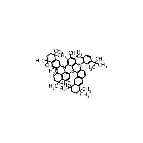 Cc1cc2c3c(c1)N1c4cc5c(cc4C4(C)CCC(C)(C)c6ccc(c1c64)B3c1c(ccc3c1CC1C(=C3)C(C)(C)CCC1(C)C)N2c1cc(C(C)(C)C)ccc1C)C(C)(C)CCC5(C)C